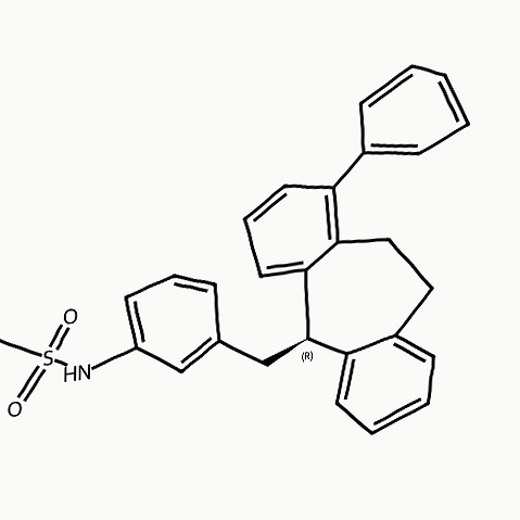 CS(=O)(=O)Nc1cccc(C[C@@H]2c3ccccc3CCc3c(-c4ccccc4)cccc32)c1